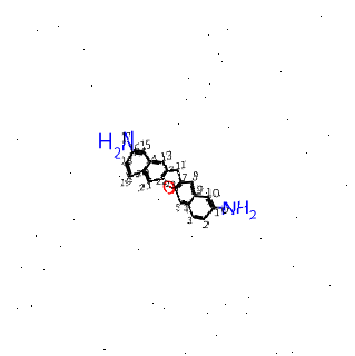 Nc1ccc2cc3c(cc2c1)Cc1cc2cc(N)ccc2cc1O3